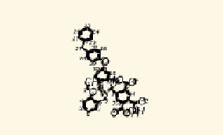 CCOc1ccccc1CN(Cc1ccc(Oc2ccc(Cc3ccccc3)cc2)cc1)C(=O)c1cc(C(=O)O)c(C(=O)O)cc1C(=O)O